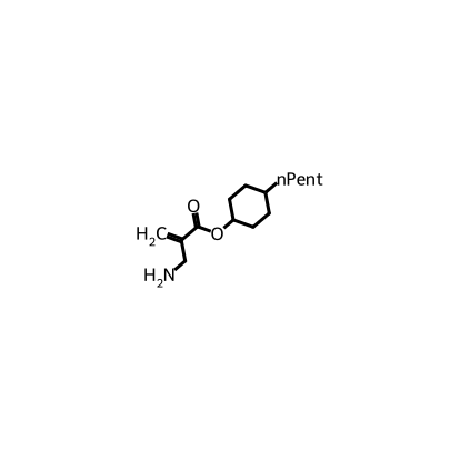 C=C(CN)C(=O)OC1CCC(CCCCC)CC1